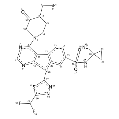 CC(C)CN1CCN(c2ncnc3c2c2ccc(S(=O)(=O)NC4(C#N)CC4)cc2n3-c2nnc(C(F)F)s2)CC1=O